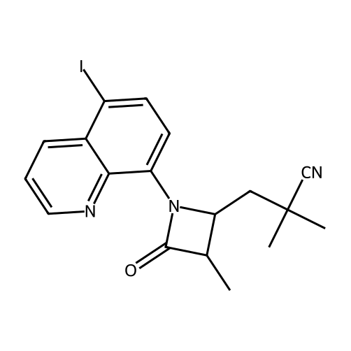 CC1C(=O)N(c2ccc(I)c3cccnc23)C1CC(C)(C)C#N